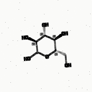 OC[C@@H]1O[C](O)[C@@H](O)[C@H](O)[C@H]1O